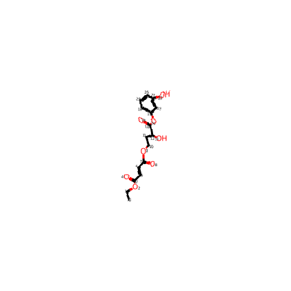 CCOC(=O)C=CC(=O)OCCC(O)C(=O)Oc1cccc(O)c1